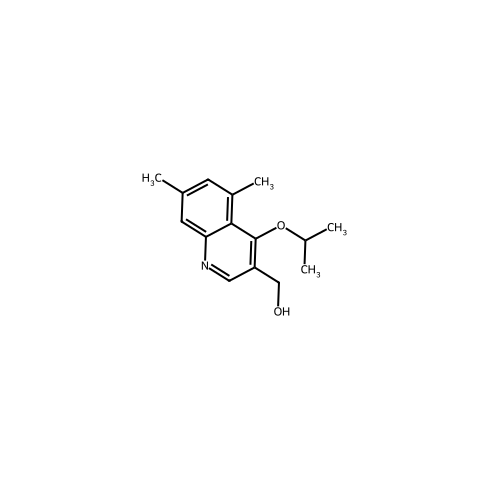 Cc1cc(C)c2c(OC(C)C)c(CO)cnc2c1